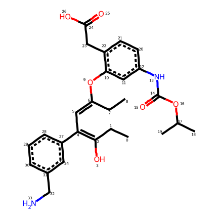 CC/C(O)=C(\C=C(/CC)Oc1cc(NC(=O)OC(C)C)ccc1CC(=O)O)c1cccc(CN)c1